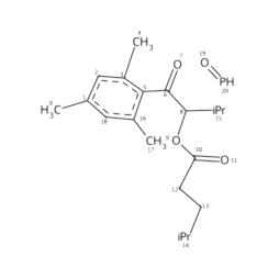 Cc1cc(C)c(C(=O)C(OC(=O)CCC(C)C)C(C)C)c(C)c1.O=P